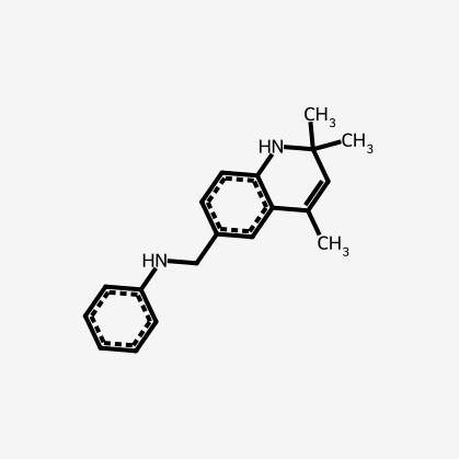 CC1=CC(C)(C)Nc2ccc(CNc3ccccc3)cc21